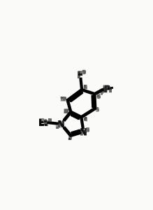 CCn1cnc2cc(C(C)C)c(F)cc21